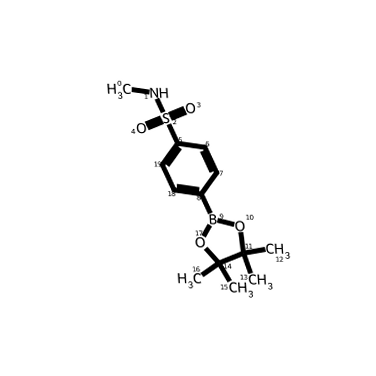 CNS(=O)(=O)c1ccc(B2OC(C)(C)C(C)(C)O2)cc1